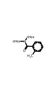 CCCCCCN(CCCCCC)C(=O)c1ccccc1C